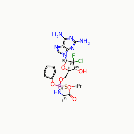 CC(C)OC(=O)[C@H](C)N[P@](=S)(OC[C@H]1O[C@@H](n2cnc3c(N)nc(N)nc32)[C@](F)(Cl)[C@@H]1O)Oc1ccccc1